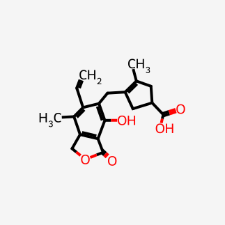 C=Cc1c(C)c2c(c(O)c1CC1=C(C)CC(C(=O)O)C1)C(=O)OC2